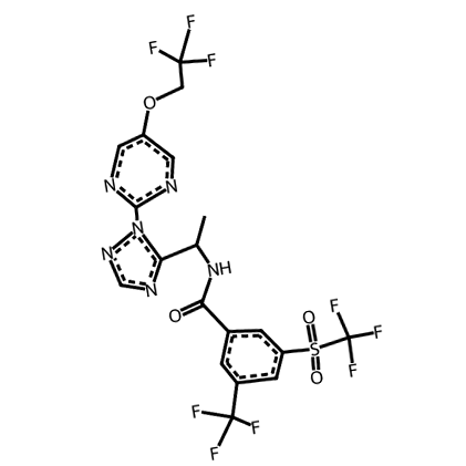 CC(NC(=O)c1cc(C(F)(F)F)cc(S(=O)(=O)C(F)(F)F)c1)c1ncnn1-c1ncc(OCC(F)(F)F)cn1